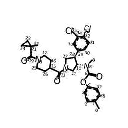 Cc1ccc(OC(=O)N(C)[C@@H]2CN(C(=O)C3CCN(C(=O)C4(C)CC4)CC3)C[C@H]2c2ccc(Cl)c(Cl)c2)cc1